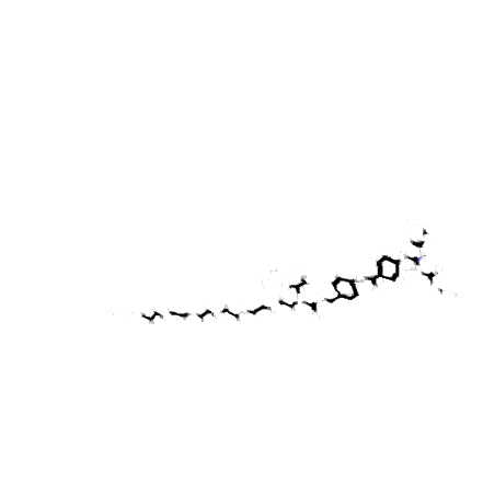 CC(C)(C)OC(=O)/N=C(/NC(=O)OC(C)(C)C)Nc1ccc(C(=O)Oc2ccc(COC(=O)N(CCOCCOCCOCCOCCOCCC(=O)O)C(CC(=O)O)C(=O)O)cc2)cc1